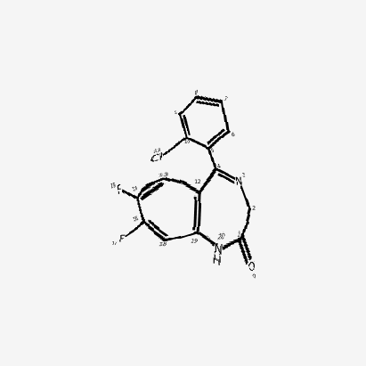 O=C1CN=C(c2ccccc2Cl)c2cc(F)c(F)cc2N1